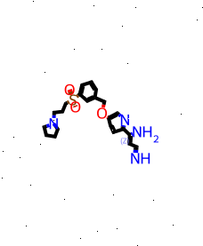 N=C/C=C(\N)c1ccc(OCc2cccc(S(=O)(=O)CCCN3CCCC3)c2)cn1